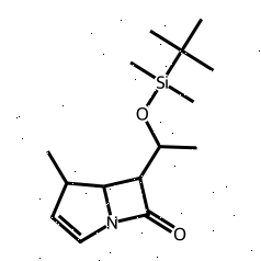 CC1C=CN2C(=O)C(C(C)O[Si](C)(C)C(C)(C)C)C12